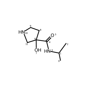 CC(C)NC(=O)C1(O)CCNC1